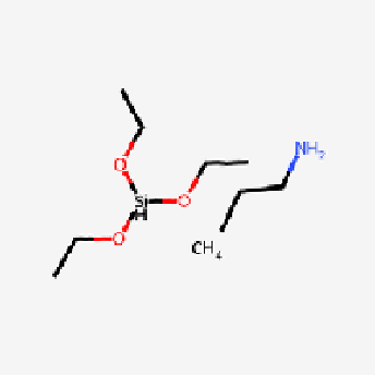 C.CCCN.CCO[SiH](OCC)OCC